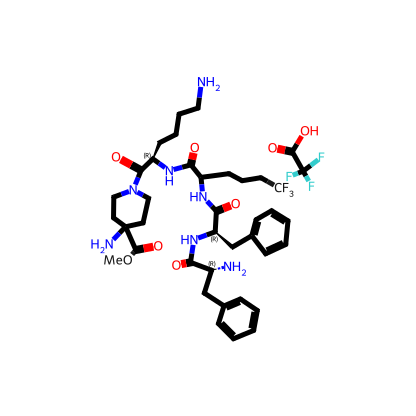 COC(=O)C1(N)CCN(C(=O)[C@@H](CCCCN)NC(=O)C(CCCC(F)(F)F)NC(=O)[C@@H](Cc2ccccc2)NC(=O)[C@H](N)Cc2ccccc2)CC1.O=C(O)C(F)(F)F